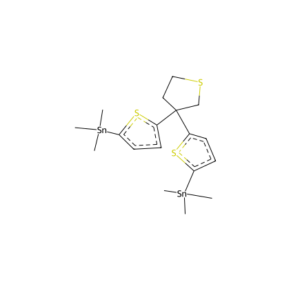 [CH3][Sn]([CH3])([CH3])[c]1ccc(C2(c3cc[c]([Sn]([CH3])([CH3])[CH3])s3)CCSC2)s1